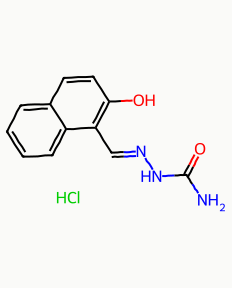 Cl.NC(=O)NN=Cc1c(O)ccc2ccccc12